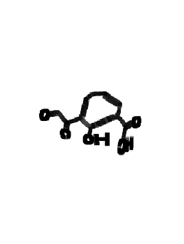 O=CC(=O)c1cccc(C(=O)O)c1O